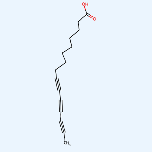 CC#CC#CC#CCCCCCCCC(=O)O